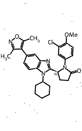 COc1ccc(N2C(=O)CC[C@H]2c2nc3cc(-c4c(C)noc4C)ccc3n2C2CCCCC2)cc1Cl